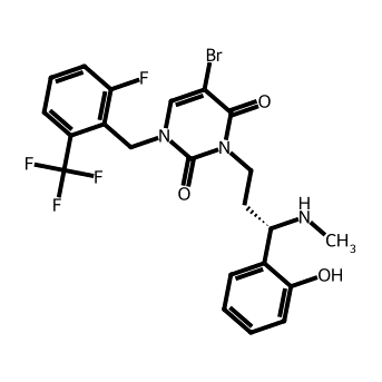 CN[C@@H](CCn1c(=O)c(Br)cn(Cc2c(F)cccc2C(F)(F)F)c1=O)c1ccccc1O